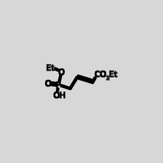 CCOC(=O)/C=C/CP(=O)(O)OCC